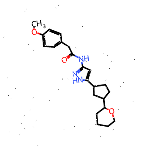 COc1ccc(CC(=O)Nc2cc(C3CCC(C4CCCCO4)C3)[nH]n2)cc1